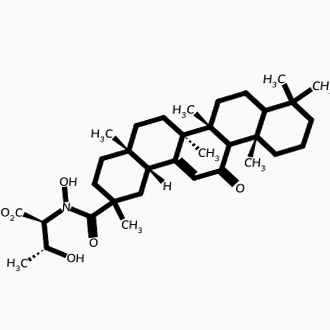 C[C@@H](O)[C@@H](C(=O)O)N(O)C(=O)C1(C)CC[C@]2(C)CC[C@]3(C)C(=CC(=O)C4[C@@]5(C)CCCC(C)(C)C5CC[C@]43C)[C@@H]2C1